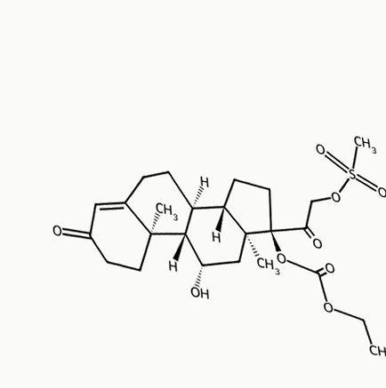 CCOC(=O)O[C@]1(C(=O)COS(C)(=O)=O)CC[C@H]2[C@@H]3CCC4=CC(=O)CC[C@]4(C)[C@H]3[C@@H](O)C[C@@]21C